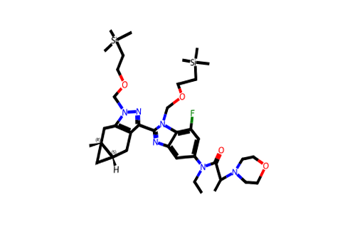 CCN(C(=O)C(C)N1CCOCC1)c1cc(F)c2c(c1)nc(-c1nn(COCC[Si](C)(C)C)c3c1C[C@@H]1C[C@]1(C)C3)n2COCC[Si](C)(C)C